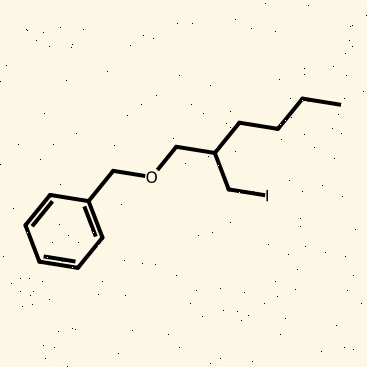 CCCCC(CI)COCc1ccccc1